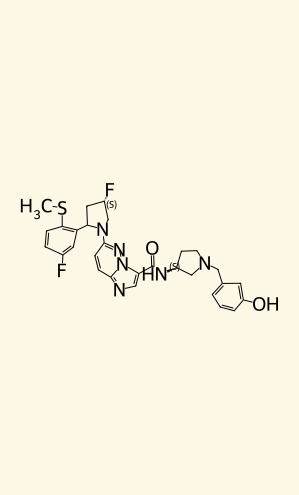 CSc1ccc(F)cc1C1C[C@H](F)CN1c1ccc2ncc(C(=O)N[C@H]3CCN(Cc4cccc(O)c4)C3)n2n1